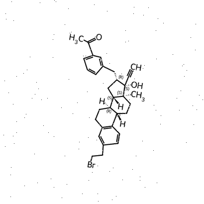 C#C[C@]1(O)[C@@H](Cc2cccc(C(C)=O)c2)C[C@H]2[C@@H]3CCc4cc(CCBr)ccc4[C@H]3CC[C@@]21C